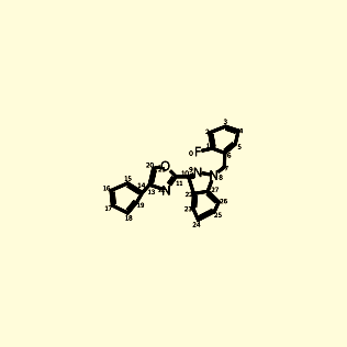 Fc1ccccc1Cn1nc(-c2nc(-c3ccccc3)co2)c2ccccc21